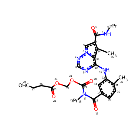 CCCNC(=O)c1cn2ncnc(Nc3cc(C(=O)N(CCC)C(=O)OCOC(=O)CCC=O)ccc3C)c2c1C